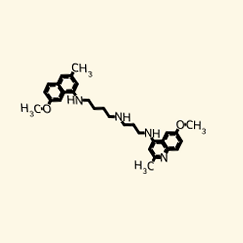 COc1ccc2cc(C)cc(NCCCCNCCCNc3cc(C)nc4ccc(OC)cc34)c2c1